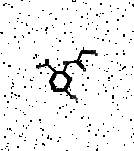 C=CC(=O)Nc1nc(C)ccc1NC(C)C